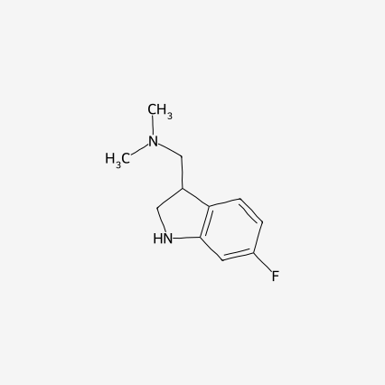 CN(C)CC1CNc2cc(F)ccc21